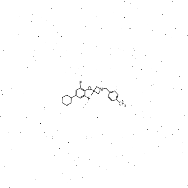 CC1(Oc2c(F)cc(C3CCCCC3)cc2F)CN(Cc2ccc(C(F)(F)F)cc2)C1